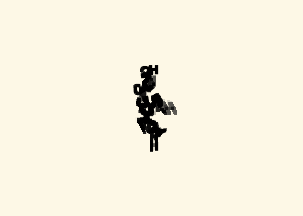 Cc1c[nH]c2ncc(-c3cc4c(c(C5CCCN5)c3)CN(C(=O)c3ccnc(C(C)(C)O)c3)CC4)cc12